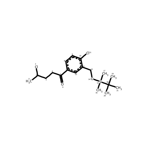 CC(Cl)CCC(=O)c1ccc(Cl)c(CO[Si](C)(C)C(C)(C)C)c1